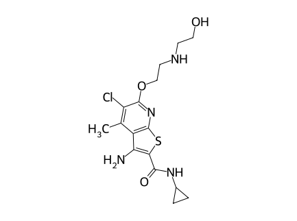 Cc1c(Cl)c(OCCNCCO)nc2sc(C(=O)NC3CC3)c(N)c12